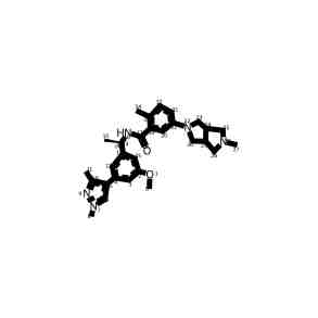 COc1cc(-c2cn(C)nc2C)cc([C@@H](C)NC(=O)c2cc(N3CC4CN(C)CC4C3)ccc2C)c1